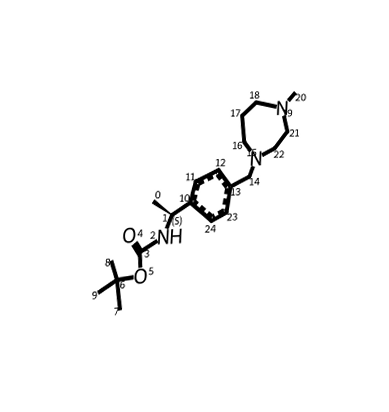 C[C@H](NC(=O)OC(C)(C)C)c1ccc(CN2CCCN(C)CC2)cc1